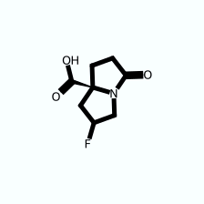 O=C1CC[C@@]2(C(=O)O)CC(F)CN12